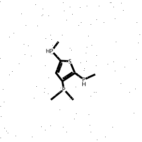 CPc1cc(P(C)C)c(PC)s1